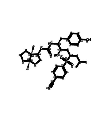 CC(C)CN(C[C@@H](O)[C@H](Cc1ccc(O)cc1)NC(=O)O[C@H]1CO[C@H]2OCC[C@H]21)S(=O)(=O)c1ccc(C#N)cc1